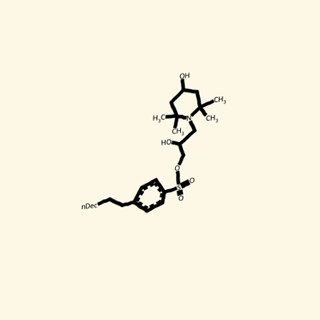 CCCCCCCCCCCCc1ccc(S(=O)(=O)OCC(O)CN2C(C)(C)CC(O)CC2(C)C)cc1